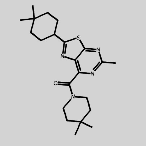 Cc1nc(C(=O)N2CCC(C)(C)CC2)c2nc(C3CCC(C)(C)CC3)sc2n1